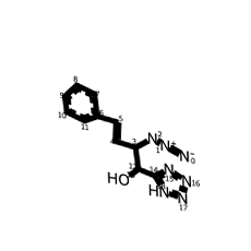 [N-]=[N+]=NC(C=Cc1ccccc1)C(O)c1nnn[nH]1